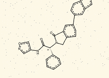 O=C(Nc1cnoc1)[C@@H](c1ccccc1)N1Cc2ccc(-c3ccc4[nH]ccc4c3)cc2C1=O